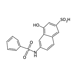 O=S(=O)(O)c1cc(O)c2cc(NS(=O)(=O)c3ccccc3)ccc2c1